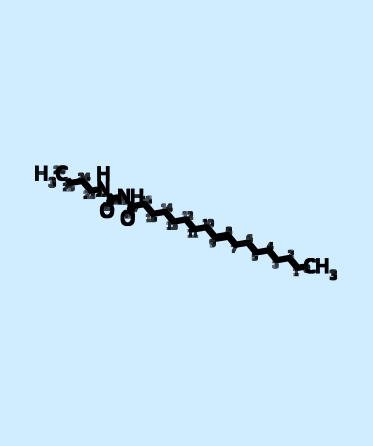 CCCCCCCCC=CCCCCCCCC(=O)NC(=O)NCCCC